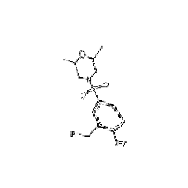 CC(C)Cc1cc(S(=O)(=O)N2CC(C)OC(C)C2)ccc1C(C)C